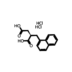 Cl.Cl.O=C(O)C[C@@H](Cc1cccc2ccccc12)C(=O)O